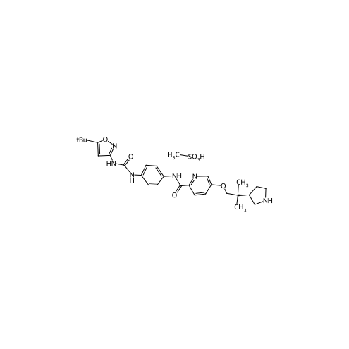 CC(C)(C)c1cc(NC(=O)Nc2ccc(NC(=O)c3ccc(OCC(C)(C)[C@H]4CCNC4)cn3)cc2)no1.CS(=O)(=O)O